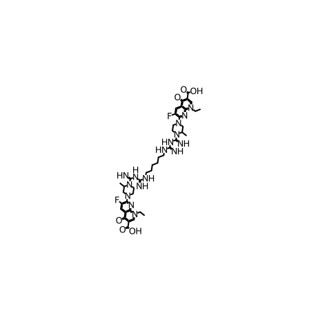 CCn1cc(C(=O)O)c(=O)c2cc(F)c(N3CCN(C(=N)NC(=N)NCCCCCCNC(=N)NC(=N)N4CCN(c5nc6c(cc5F)c(=O)c(C(=O)O)cn6CC)CC4C)C(C)C3)nc21